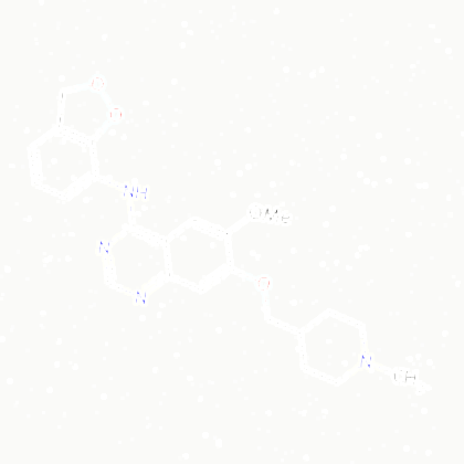 COc1cc2c(Nc3cccc4c3OOC4)ncnc2cc1OCC1CCN(C)CC1